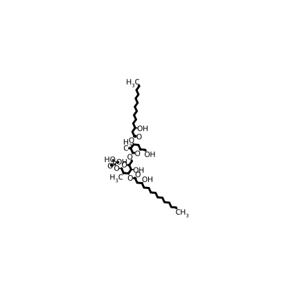 CCCCCCCCCCC[C@@H](O)CC(=O)O[C@H]1CC(CO)O[C@@H](OCC2O[C@H](OP(=O)(O)O)C(C)[C@@H](OC(=O)C[C@H](O)CCCCCCCCCCC)[C@@H]2O)C1C